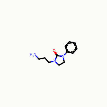 NCCCN1CCN(c2ccccc2)C1=O